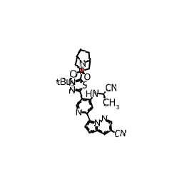 C[C@H](C#N)Nc1cc(-c2ccc3cc(C#N)cnn23)ncc1-c1nnc(N2CC3CCC(C2)N3C(=O)OC(C)(C)C)s1